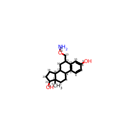 CC12CCC3c4ccc(O)cc4C(CON)CC3C1CCC2O